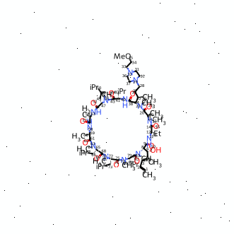 C/C=C/C[C@@H](C)[C@@H](O)[C@H]1C(=O)N[C@@H](CC)C(=O)N(C)[C@H](C)C(=O)N(C)[C@@H]([C@H](C)CCN2CCN(CCOC)CC2)C(=O)N[C@@H](C(C)C)C(=O)N(C)[C@@H](CCC(C)C)C(=O)N[C@@H](C)C(=O)N[C@H](C)C(=O)N(C)[C@@H](CC(C)C)C(=O)N(C)[C@@H](CC(C)C)C(=O)N(C)[C@@H](C(C)C)C(=O)N1C